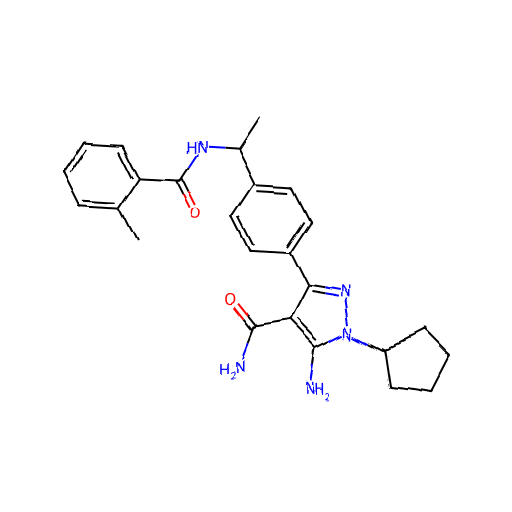 Cc1ccccc1C(=O)NC(C)c1ccc(-c2nn(C3CCCC3)c(N)c2C(N)=O)cc1